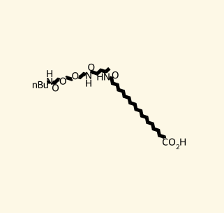 CCCCNC(=O)COCCOCCNC(=O)CCC(C)NC(=O)CCCCCCCCCCCCCCCCCCC(=O)O